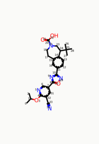 CC(C)Oc1ncc(-c2nc(-c3ccc4c(c3)CCN(C(=O)O)CC4C(C)(C)C)no2)cc1C#N